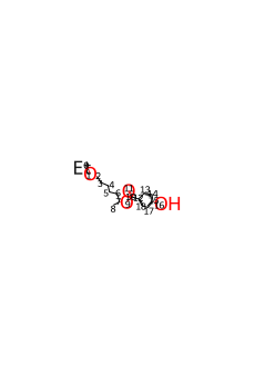 CCOCCCCCC(C)OC(=O)c1ccc(O)cc1